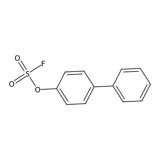 O=S(=O)(F)Oc1ccc(-c2ccccc2)cc1